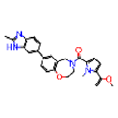 C=C(OC)c1ccc(C(=O)N2CCOc3ccc(-c4ccc5nc(C)[nH]c5c4)cc3C2)n1C